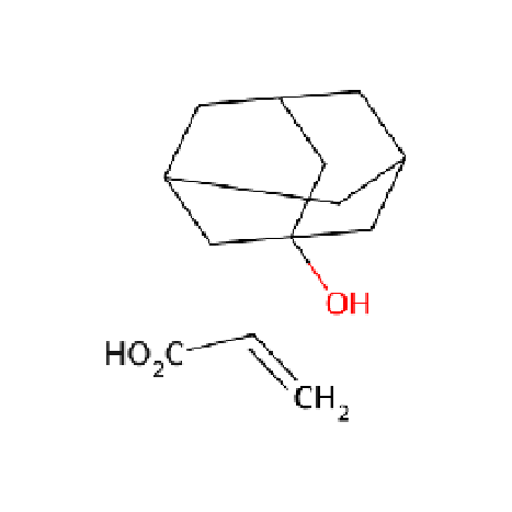 C=CC(=O)O.OC12CC3CC(CC(C3)C1)C2